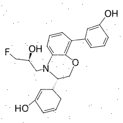 OC1=CC([C@H]2COc3c(-c4cccc(O)c4)cccc3N2C[C@H](O)CF)CC=C1